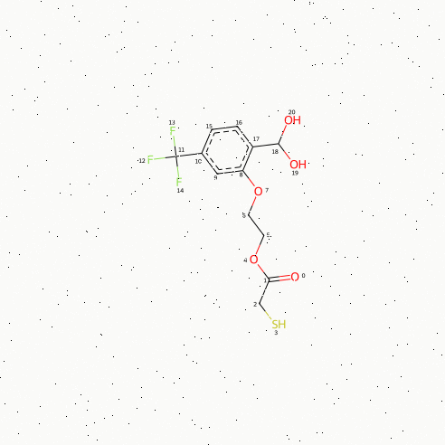 O=C(CS)OCCOc1cc(C(F)(F)F)ccc1C(O)O